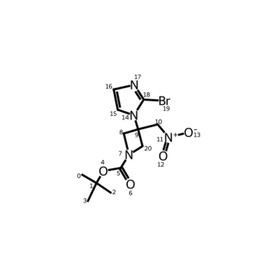 CC(C)(C)OC(=O)N1CC(C[N+](=O)[O-])(n2ccnc2Br)C1